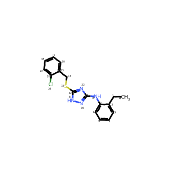 CCc1ccccc1Nc1n[nH]c(SCc2ccccc2Cl)n1